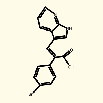 O=C(O)/C(=C\c1c[nH]c2ncccc12)c1ccc(Br)cc1